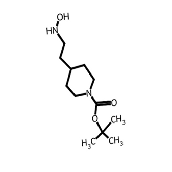 CC(C)(C)OC(=O)N1CCC(CCNO)CC1